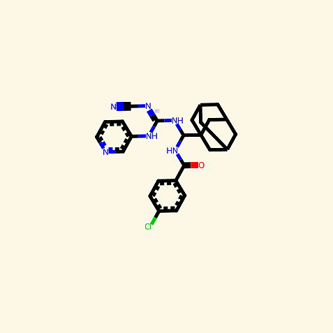 N#C/N=C(\Nc1cccnc1)NC(NC(=O)c1ccc(Cl)cc1)C12CC3CC(CC(C3)C1)C2